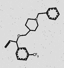 C=CC(OCC1CCN(Cc2ccccc2)CC1)c1cccc(C(F)(F)F)c1